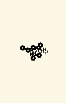 CC1(C)c2ccccc2-c2c1sc1c2ccc2c3cc(-c4ccccc4)ccc3n(-c3nc(-c4ccccc4)c4ccccc4n3)c21